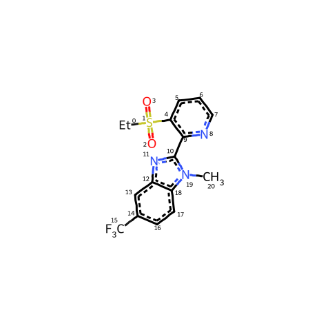 CCS(=O)(=O)c1cccnc1-c1nc2cc(C(F)(F)F)ccc2n1C